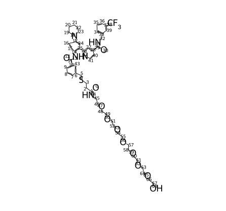 O=C(CCSCc1cccc(C(=O)Nc2ccc(N3CCCCC3)cc2-c2cc(C(=O)NCc3cccc(C(F)(F)F)c3)ccn2)c1)NCCOCCOCCOCCOCCOCCOCCOCCO